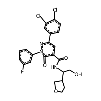 O=C(NC(CO)C1CCOC1)c1cc(-c2ccc(Cl)c(Cl)c2)nn(-c2cccc(F)c2)c1=O